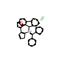 C1=CC(c2ccoc2)=[C]([Zr+2](=[C](c2ccccc2)c2ccccc2)[CH]2c3ccccc3-c3ccccc32)C1.[Cl-].[Cl-]